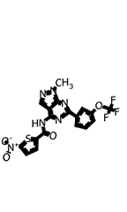 Cn1ncc2c(NC(=O)c3ccc([N+](=O)[O-])s3)nc(-c3cccc(OC(F)(F)F)c3)nc21